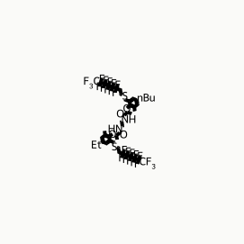 CCCCc1cc(C)c(OC(C)C(=O)NCCNC(=O)C(C)Oc2c(C)cc(CC)cc2CSCCC(F)(F)C(F)(F)C(F)(F)C(F)(F)C(F)(F)C(F)(F)F)c(CSCCC(F)(F)C(F)(F)C(F)(F)C(F)(F)C(F)(F)C(F)(F)F)c1